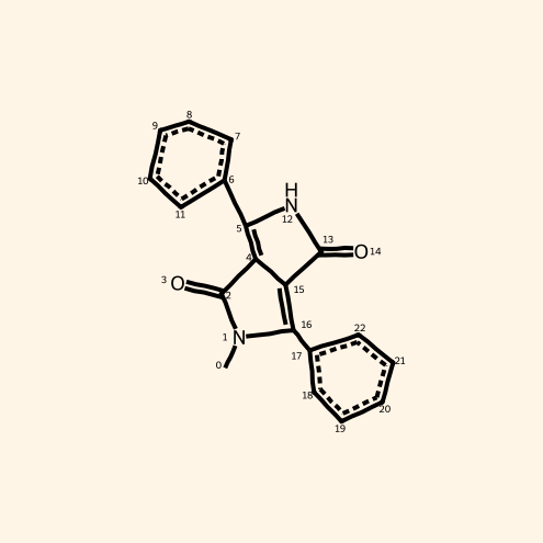 CN1C(=O)C2=C(c3ccccc3)NC(=O)C2=C1c1ccccc1